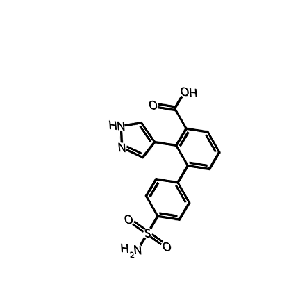 NS(=O)(=O)c1ccc(-c2cccc(C(=O)O)c2-c2cn[nH]c2)cc1